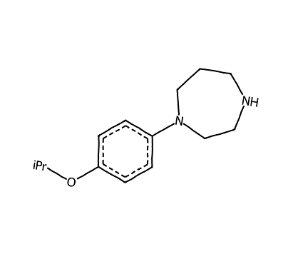 CC(C)Oc1ccc(N2CCCNCC2)cc1